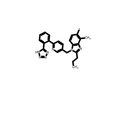 CCCc1nc2c(C)c(I)ccc2n1Cc1ccc(-c2ccccc2-c2nnn[nH]2)nc1